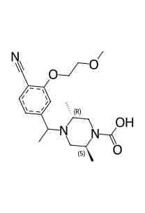 COCCOc1cc(C(C)N2C[C@H](C)N(C(=O)O)C[C@H]2C)ccc1C#N